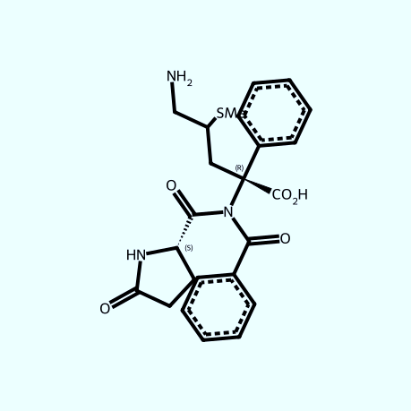 CSC(CN)C[C@](C(=O)O)(c1ccccc1)N(C(=O)c1ccccc1)C(=O)[C@@H]1CCC(=O)N1